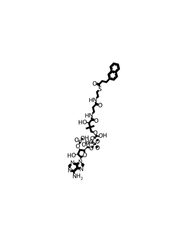 CC(C)(COP(=O)(O)OP(=O)(O)OC[C@H]1O[C@@H](n2cnc3c(N)ncnc32)[C@H](O)[C@@H]1OP(=O)(O)O)[C@@H](O)C(=O)NCCC(=O)NCCSC(=O)CCc1ccc2ccccc2c1